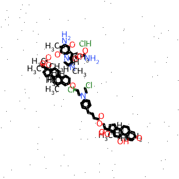 CC(=O)O[C@]1(C(C)=O)CC[C@H]2[C@@H]3C[C@H](C)C4=CC(=O)CC[C@]4(C)[C@H]3CC[C@@]21C.CO[C@@]12[C@H](COC(N)=O)C3=C(C(=O)C(C)=C(N)C3=O)N1C[C@H]1[C@@H]2N1C.C[C@]12C=CC(=O)C=C1CC[C@@H]1[C@@H]2[C@@H](O)C[C@@]2(C)[C@H]1CC[C@]2(O)C(=O)COC(=O)CCCc1ccc(N(CCCl)CCCl)cc1.Cl